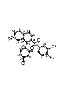 O=S(=O)(c1ccc(F)c(F)c1)c1cnc2ccc(F)cc2c1-c1ccc(Cl)cc1